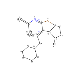 C=C(/N=C1/SC2CCC(CC)C2/C1=C(/C)CC1CCCCC1)C(C)C